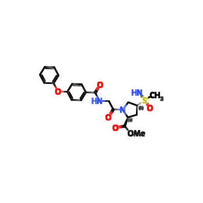 COC(=O)[C@@H]1C[C@@H](S(C)(=N)=O)CN1C(=O)CNC(=O)c1ccc(Oc2ccccc2)cc1